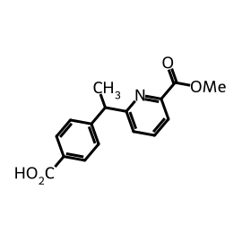 COC(=O)c1cccc(C(C)c2ccc(C(=O)O)cc2)n1